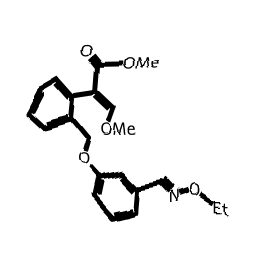 CCO/N=C/c1cccc(OCc2ccccc2/C(=C\OC)C(=O)OC)c1